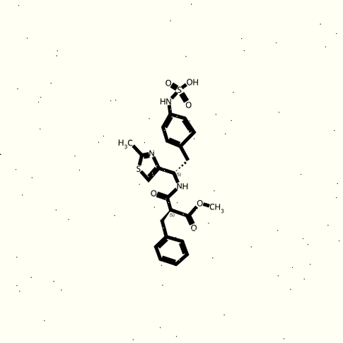 COC(=O)[C@@H](Cc1ccccc1)C(=O)N[C@@H](Cc1ccc(NS(=O)(=O)O)cc1)c1csc(C)n1